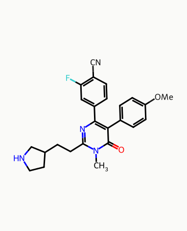 COc1ccc(-c2c(-c3ccc(C#N)c(F)c3)nc(CCC3CCNC3)n(C)c2=O)cc1